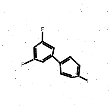 Fc1cc(F)cc(-c2ccc(I)cc2)c1